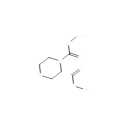 CC(C)(C)OC(=O)[C@@H]1CNCCN1C(=O)OC(C)(C)C